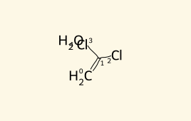 C=C(Cl)Cl.O